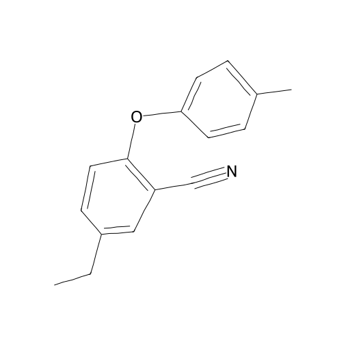 CCc1ccc(Oc2ccc(C)cc2)c(C#N)c1